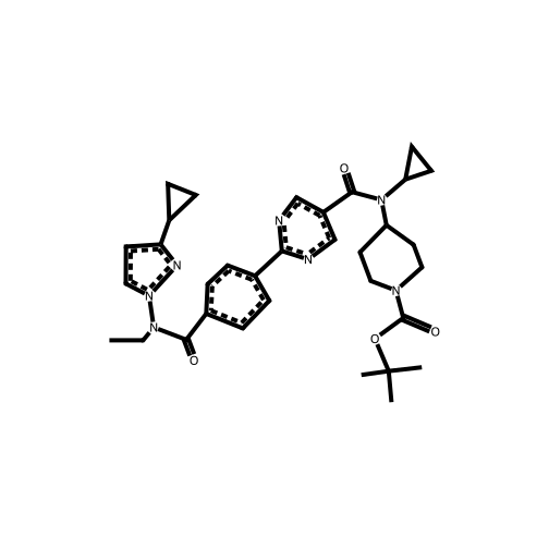 CCN(C(=O)c1ccc(-c2ncc(C(=O)N(C3CC3)C3CCN(C(=O)OC(C)(C)C)CC3)cn2)cc1)n1ccc(C2CC2)n1